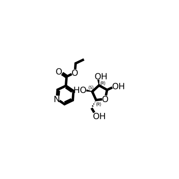 CCOC(=O)c1cccnc1.OC[C@H]1OC(O)[C@H](O)[C@@H]1O